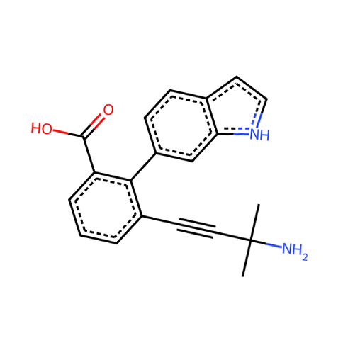 CC(C)(N)C#Cc1cccc(C(=O)O)c1-c1ccc2cc[nH]c2c1